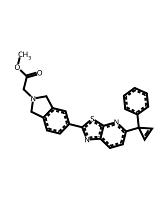 COC(=O)CN1Cc2ccc(-c3nc4ccc(C5(c6ccccc6)C=C5)nc4s3)cc2C1